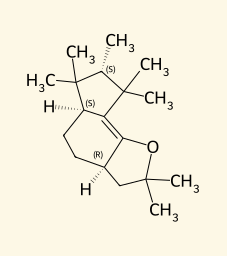 C[C@@H]1C(C)(C)C2=C3OC(C)(C)C[C@H]3CC[C@H]2C1(C)C